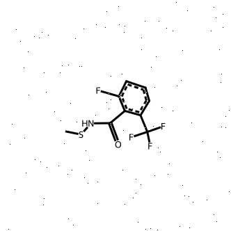 CSNC(=O)c1c(F)cccc1C(F)(F)F